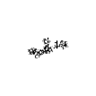 O=C(OCCNCCS1=C2C(=C(Nc3ccc(OCc4ccccn4)c(Cl)c3)N=CN2Cc2ccccc2)C=C1)C(F)(F)F